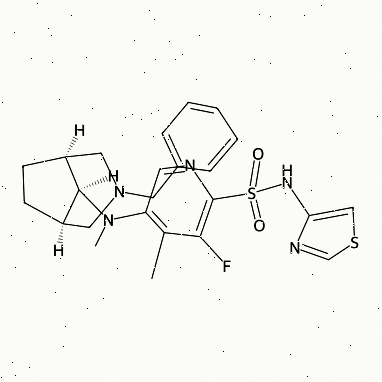 Cc1c(N(C)[C@H]2[C@@H]3CC[C@H]2CN(Cc2ccccc2)C3)cnc(S(=O)(=O)Nc2cscn2)c1F